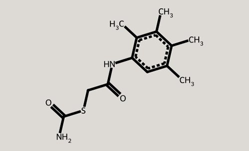 Cc1cc(NC(=O)CSC(N)=O)c(C)c(C)c1C